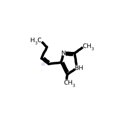 CC/C=C\C1=C(C)BC(C)=N1